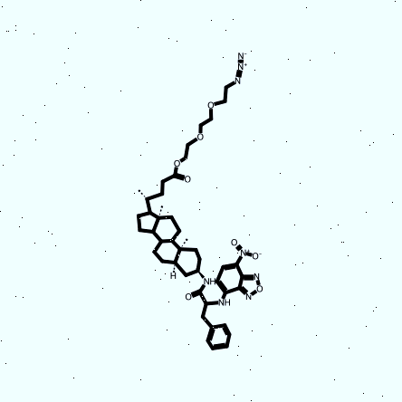 C[C@H](CCC(=O)OCCOCCOCCN=[N+]=[N-])C1CCC2C3CC[C@@H]4C[C@H](NC(=O)C(Cc5ccccc5)Nc5ccc([N+](=O)[O-])c6nonc56)CC[C@]4(C)C3CC[C@@]21C